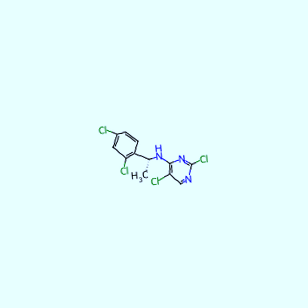 C[C@@H](Nc1nc(Cl)ncc1Cl)c1ccc(Cl)cc1Cl